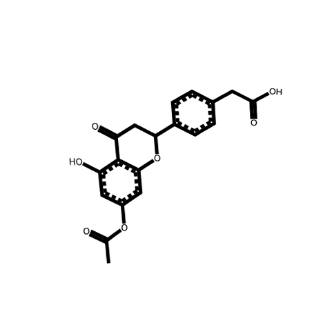 CC(=O)Oc1cc(O)c2c(c1)OC(c1ccc(CC(=O)O)cc1)CC2=O